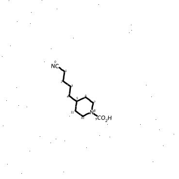 N#CCCCCC1CCN(C(=O)O)CC1